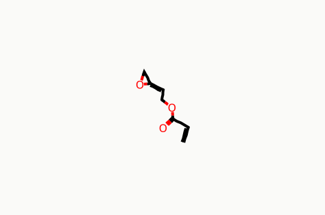 C=CC(=O)OCC=C1CO1